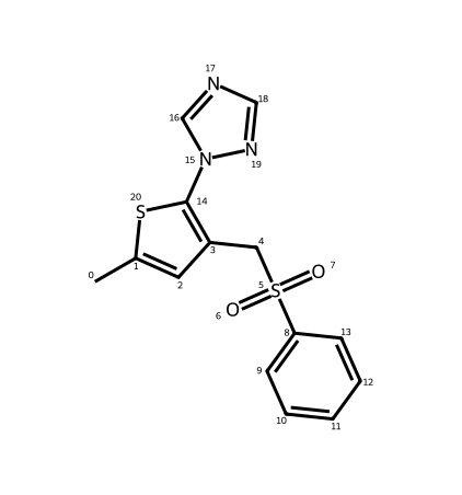 Cc1cc(CS(=O)(=O)c2ccccc2)c(-n2cncn2)s1